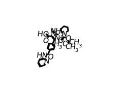 CC(C)(C)OC(=O)N1CCCC[C@H]1c1nc(-c2ccc(C(=O)Nc3ccccn3)cc2)c(C(=O)O)n1N